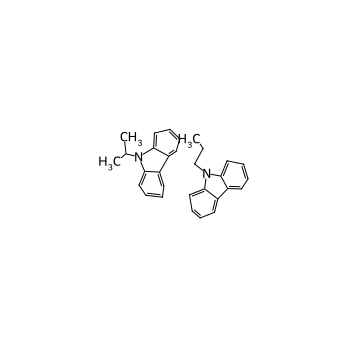 CC(C)n1c2ccccc2c2ccccc21.CCCn1c2ccccc2c2ccccc21